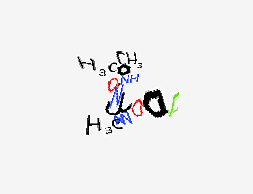 Cc1ccc(NC(=O)N2CCc3c(c(COc4ccc(F)cc4)nn3C)C2)cc1C